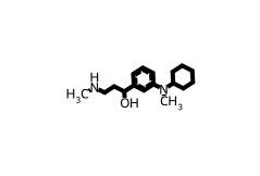 CNCCC(O)c1cccc(N(C)C2CCCCC2)c1